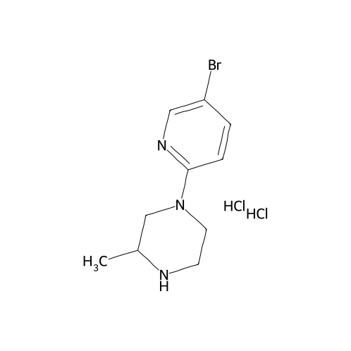 CC1CN(c2ccc(Br)cn2)CCN1.Cl.Cl